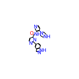 O=C(Nc1cnccc1N1CCNCC1)c1ccnc(-c2ccc3[nH]ncc3c2)n1